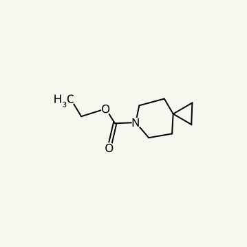 CCOC(=O)N1CCC2(CC1)CC2